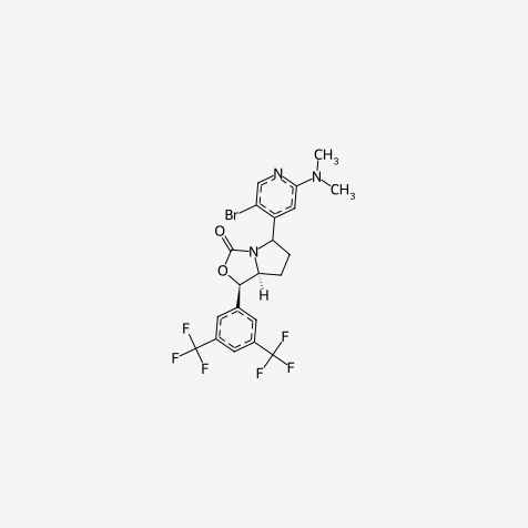 CN(C)c1cc(C2CC[C@H]3[C@@H](c4cc(C(F)(F)F)cc(C(F)(F)F)c4)OC(=O)N23)c(Br)cn1